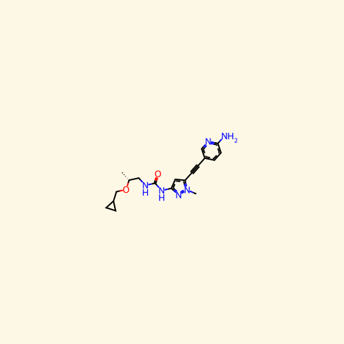 C[C@H](CNC(=O)Nc1cc(C#Cc2ccc(N)nc2)n(C)n1)OCC1CC1